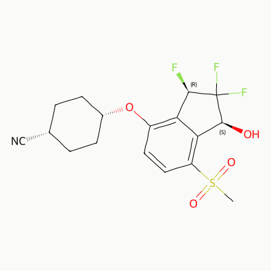 CS(=O)(=O)c1ccc(O[C@H]2CC[C@@H](C#N)CC2)c2c1[C@H](O)C(F)(F)[C@@H]2F